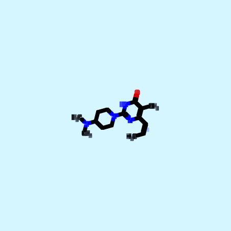 C/C=C\c1nc(N2CCC(N(C)C)CC2)[nH]c(=O)c1C